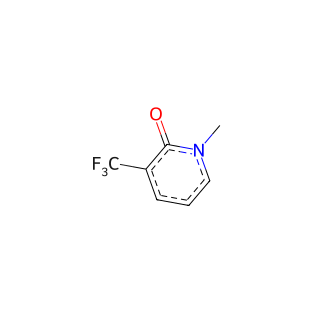 Cn1cccc(C(F)(F)F)c1=O